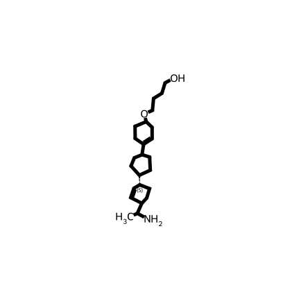 CC(N)C1C=C[C@H](C2CCC(C3=CCC(OCCCCO)CC3)CC2)CC1